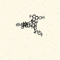 C#Cc1c(F)ccc2cc(O)cc(-c3nc(OC)c4c(N5CC6CC(C(=O)NC(C)(C)C)CC(C5)N6)nc(OCC5(CN6CCC(F)CC6)CC5)nc4c3F)c12